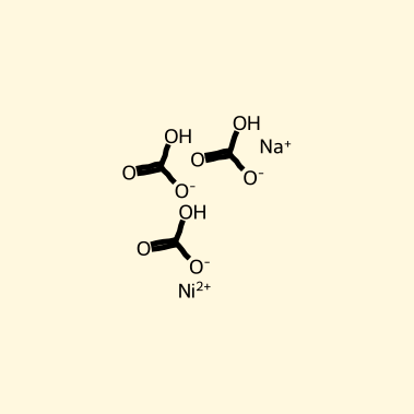 O=C([O-])O.O=C([O-])O.O=C([O-])O.[Na+].[Ni+2]